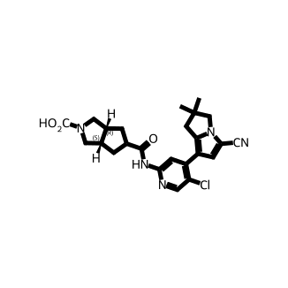 CC1(C)Cc2c(-c3cc(NC(=O)C4C[C@@H]5CN(C(=O)O)C[C@@H]5C4)ncc3Cl)cc(C#N)n2C1